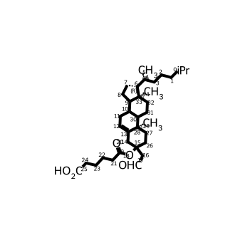 CC(C)CCC[C@@H](C)[C@H]1CCC2C3CC=C4CC(CC=O)(OC(=O)CCCCC(=O)O)CC[C@]4(C)C3CC[C@@]21C